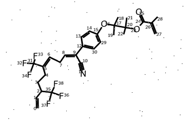 C=CC(CC/C(=C\C/C=C(\C#N)c1ccc(OC(C)(C)C(C)(C)OC(=O)C(=C)C)cc1)C(F)(F)F)C(F)(F)F